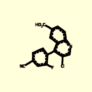 N#Cc1ccc(-c2c(Cl)cnc3ccc(C(=O)O)cc23)c(F)c1